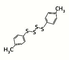 Cc1ccc(SSSSc2ccc(C)cc2)cc1